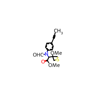 CC#Cc1ccc(N(C=O)C(C(=O)OC)C2(OC)CSC2)cc1